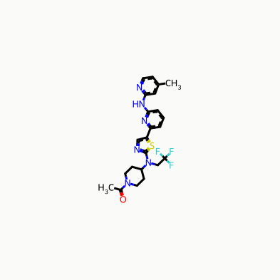 CC(=O)N1CCC(N(CC(F)(F)F)c2ncc(-c3cccc(Nc4cc(C)ccn4)n3)s2)CC1